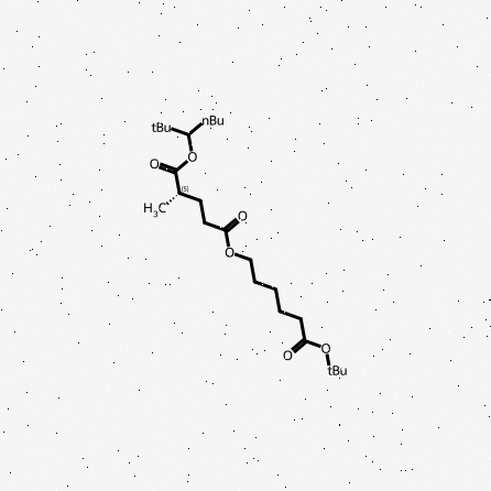 CCCCC(OC(=O)[C@@H](C)CCC(=O)OCCCCCC(=O)OC(C)(C)C)C(C)(C)C